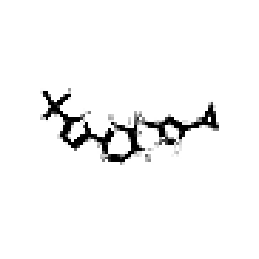 CC(C)(C)c1ccc(-c2ncc(Cl)c(Nc3cc(C4CC4)[nH]n3)n2)s1